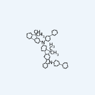 CC1(C)c2ccccc2-c2ccc(N(c3ccc(-c4ccccc4)cc3)c3ccc4c(c3)C(C)(C)c3cc5c(cc3-4)c3ccccc3n5-c3ccc(-c4ccccc4)cc3)cc21